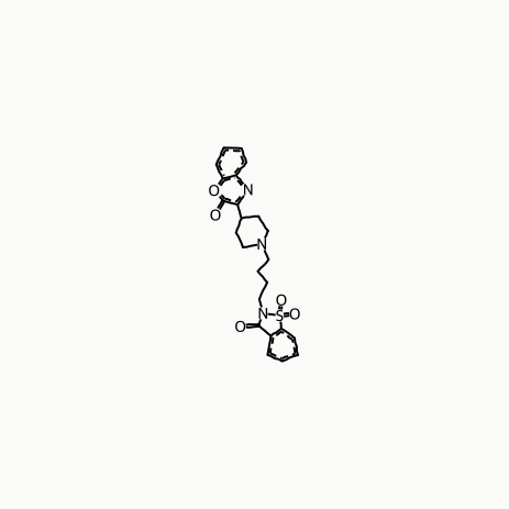 O=C1c2ccccc2S(=O)(=O)N1CCCCN1CCC(c2nc3ccccc3oc2=O)CC1